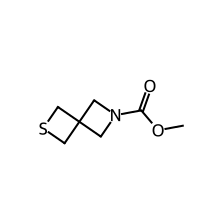 COC(=O)N1CC2(CSC2)C1